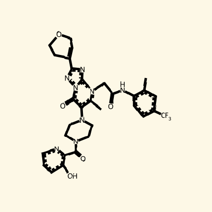 Cc1cc(C(F)(F)F)ccc1NC(=O)Cn1c(C)c(N2CCN(C(=O)c3ncccc3O)CC2)c(=O)n2nc(C3=CCOCC3)nc12